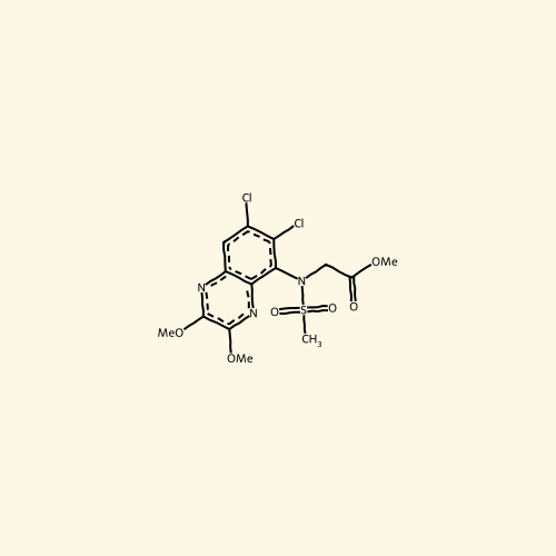 COC(=O)CN(c1c(Cl)c(Cl)cc2nc(OC)c(OC)nc12)S(C)(=O)=O